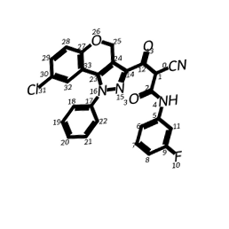 N#CC(C(=O)Nc1cccc(F)c1)C(=O)c1nn(-c2ccccc2)c2c1COc1ccc(Cl)cc1-2